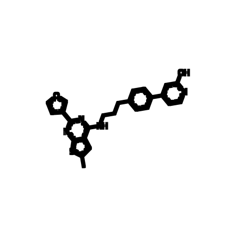 Cc1cc2c(NCCCc3ccc(-c4ccnc(O)c4)cc3)nc(-c3ccoc3)nc2s1